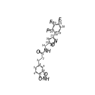 O=C(CCc1ccc2c(c1)ONO2)NCc1cc(-c2ccc(F)c(F)c2F)no1